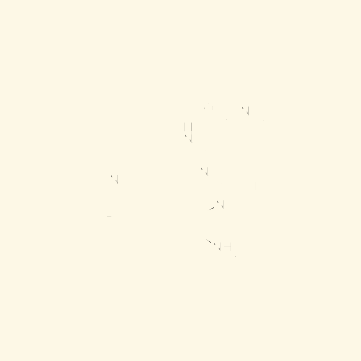 Cn1c(F)cc2cc(Nc3nc(N[C@@H]4CCCC[C@@H]4N)c(F)cc3C(N)=O)ccc21